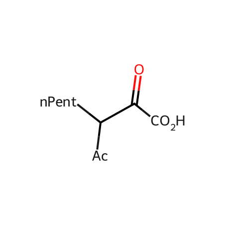 CCCCCC(C(C)=O)C(=O)C(=O)O